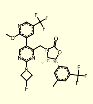 COc1ncc(C(F)(F)F)cc1-c1cnc(N2CC(F)C2)nc1CN1C(=O)O[C@H](c2cc(C)cc(C(F)(F)F)c2)[C@@H]1C